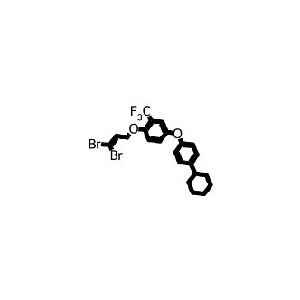 FC(F)(F)c1cc(Oc2ccc(C3CCCCC3)cc2)ccc1OCC=C(Br)Br